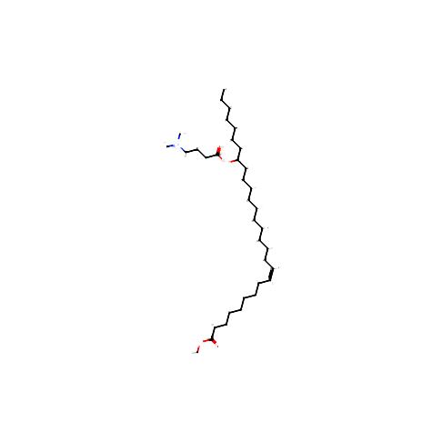 CCCCCCCC(CCCCCCCCCC/C=C\CCCCCCCC(=O)OC)OC(=O)CCCN(C)C